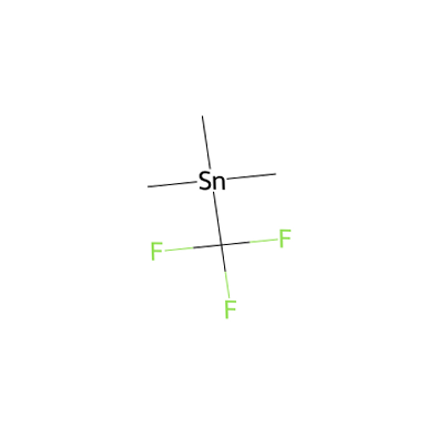 [CH3][Sn]([CH3])([CH3])[C](F)(F)F